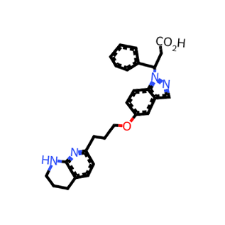 O=C(O)CC(c1ccccc1)n1ncc2cc(OCCCc3ccc4c(n3)NCCC4)ccc21